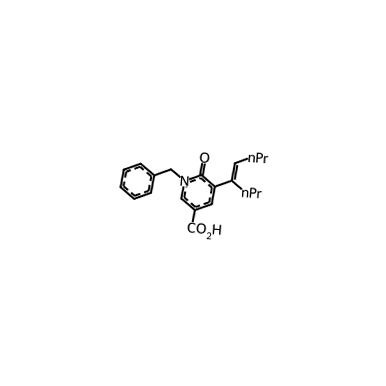 CCCC=C(CCC)c1cc(C(=O)O)cn(Cc2ccccc2)c1=O